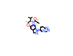 CC(C)[C@H](NC(=O)C(C)(F)F)[C@@H](C)Oc1ccc2c(cnn2-c2ccc3nncn3c2)c1